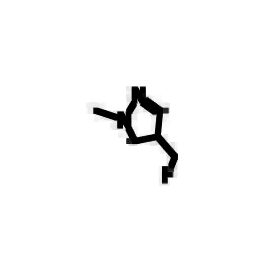 CN1[CH]C(CF)[C]=N1